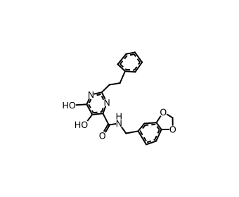 O=C(NCc1ccc2c(c1)OCO2)c1nc(CCc2ccccc2)nc(O)c1O